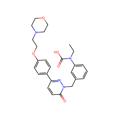 CCN(C(=O)O)c1cccc(Cn2nc(-c3ccc(OCCN4CCOCC4)cc3)ccc2=O)c1